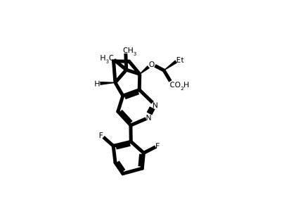 CC[C@H](O[C@@]12CC[C@@H](c3cc(-c4c(F)cccc4F)nnc31)C2(C)C)C(=O)O